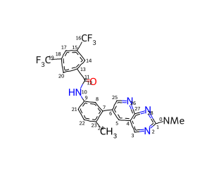 CNc1ncc2cc(-c3cc(NC(=O)c4cc(C(F)(F)F)cc(C(F)(F)F)c4)ccc3C)cnc2n1